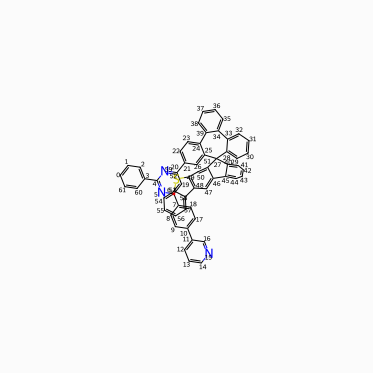 c1ccc(-c2nc(-c3ccc(-c4cccnc4)cc3)cc(-c3ccc4c(c3)C3(c5ccccc5-c5ccccc5-4)c4ccccc4-c4cc5c(cc43)sc3ccccc35)n2)cc1